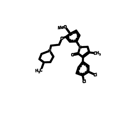 COc1ccc(N2CC(C)=C(c3ccc(Cl)c(Cl)c3)C2=O)cc1OCCN1CCC(C)CC1